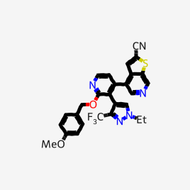 CCn1cc(-c2c(-c3cncc4sc(C#N)cc34)ccnc2OCc2ccc(OC)cc2)c(C(F)(F)F)n1